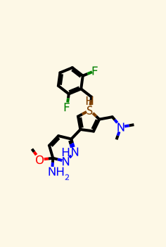 COC1(N)C=CC(C2=C[SH](Cc3c(F)cccc3F)C(CN(C)C)=C2)=NN1